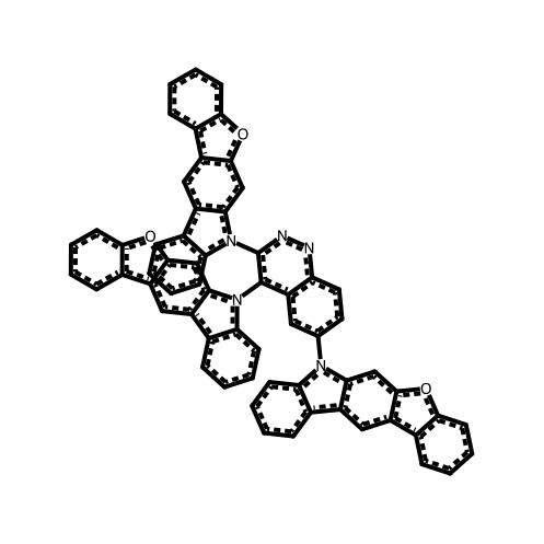 c1ccc2c(c1)oc1cc3c(cc12)c1ccccc1n3-c1ccc2nnc(-n3c4ccccc4c4cc5c(cc43)oc3ccccc35)c(-n3c4ccccc4c4cc5c(cc43)oc3ccccc35)c2c1